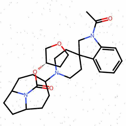 CC(=O)N1CC2(CCN(C3CCC4CCC(CC3)N4C(=O)O[C@H]3CCOC3)CC2)c2ccccc21